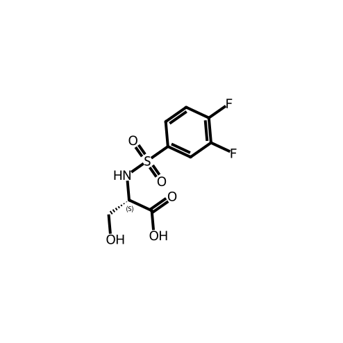 O=C(O)[C@H](CO)NS(=O)(=O)c1ccc(F)c(F)c1